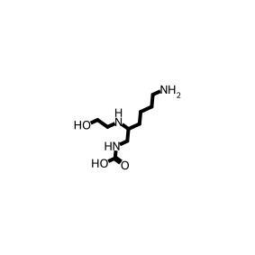 NCCCCC(CNC(=O)O)NCCO